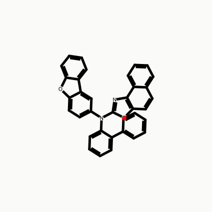 c1ccc(-c2ccccc2N(c2ccc3oc4ccccc4c3c2)c2nc3c(ccc4ccccc43)o2)cc1